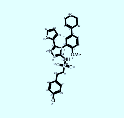 COc1ccc(C2=CCSCC2)cc1-n1c(NS(=O)(=O)CCc2ccc(Cl)cc2)nnc1-c1cccs1